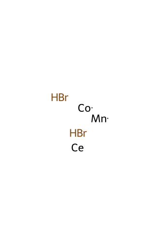 Br.Br.[Ce].[Co].[Mn]